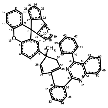 CC1(c2ccc3c(c2)C2(c4ccccc4O3)c3ccccc3-c3ccccc32)C=CC(c2ccccc2-c2nc(-c3ccccc3)c3ccccc3n2)=CC1